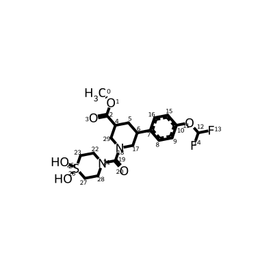 COC(=O)C1CC(c2ccc(OC(F)F)cc2)CN(C(=O)N2CCS(O)(O)CC2)C1